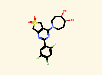 O=S1(=O)Cc2nc(-c3cc(F)c(Cl)cc3F)nc(N3CC[C@@H](O)[C@@H](O)CC3)c2C1